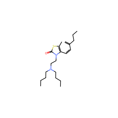 C=C(/C=C\c1c(C)sc(=O)n1CCN(CCCC)CCCC)CCC